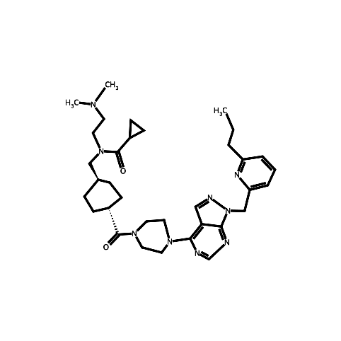 CCCc1cccc(Cn2ncc3c(N4CCN(C(=O)[C@H]5CC[C@H](CN(CCN(C)C)C(=O)C6CC6)CC5)CC4)ncnc32)n1